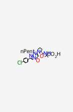 CCCCCn1c(N2CCC[C@H]2C(=O)NC(C)(C)C(=O)O)cc(=O)n2cc(-c3ccc(Cl)cc3)nc12